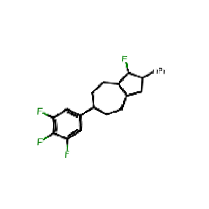 CCCC1CC2CCC(c3cc(F)c(F)c(F)c3)CCC2C1F